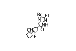 CCc1nc2[nH]c(=O)c(C3CCC(c4c(C)cccc4F)CC3)cc2nc1Br